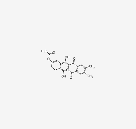 CC(=O)OC1=Cc2c(O)c3c(c(O)c2CC1)C(=O)c1cc(C)c(C)cc1C3=O